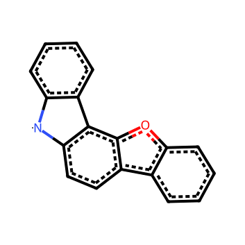 c1ccc2c(c1)[N]c1ccc3c(oc4ccccc43)c1-2